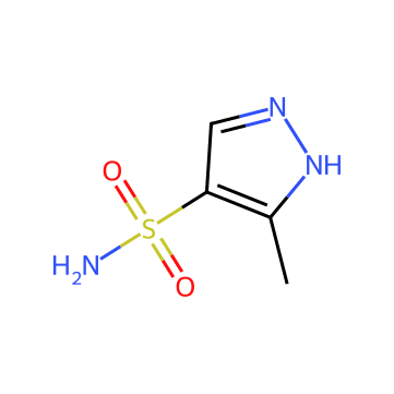 Cc1[nH]ncc1S(N)(=O)=O